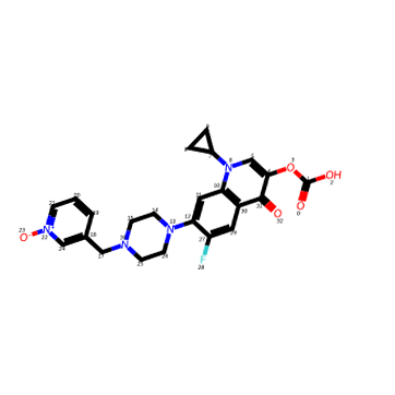 O=C(O)Oc1cn(C2CC2)c2cc(N3CCN(Cc4ccc[n+]([O-])c4)CC3)c(F)cc2c1=O